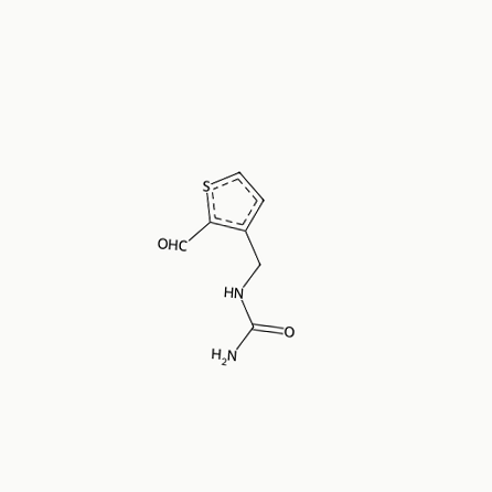 NC(=O)NCc1ccsc1C=O